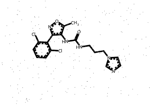 Cc1onc(-c2c(Cl)cccc2Cl)c1NC(=O)NCCCn1ccnc1